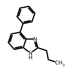 CCCc1nc2c(-c3ccccc3)cccc2[nH]1